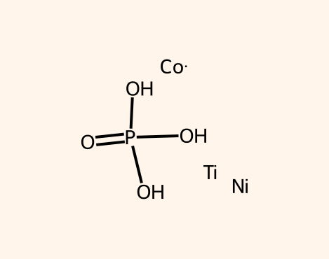 O=P(O)(O)O.[Co].[Ni].[Ti]